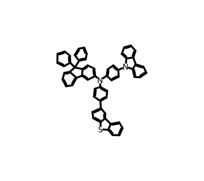 c1ccc(C2(c3ccccc3)c3ccccc3-c3cc(N(c4ccc(-c5ccc6sc7ccccc7c6c5)cc4)c4ccc(-n5c6ccccc6c6ccccc65)cc4)ccc32)cc1